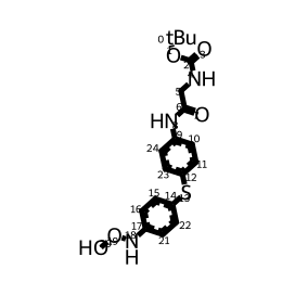 CC(C)(C)OC(=O)NCC(=O)Nc1ccc(Sc2ccc(NOO)cc2)cc1